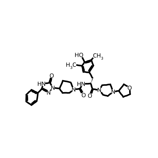 Cc1cc(C[C@@H](NC(=O)N2CCC(n3nc(-c4ccccc4)[nH]c3=O)CC2)C(=O)N2CCN(C3CCOC3)CC2)cc(C)c1O